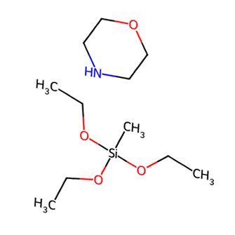 C1COCCN1.CCO[Si](C)(OCC)OCC